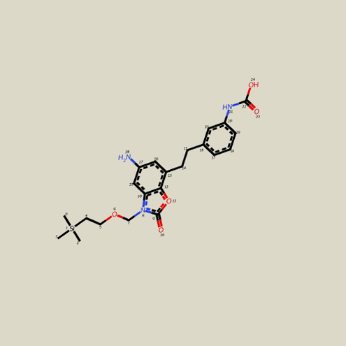 C[Si](C)(C)CCOCn1c(=O)oc2c(CCc3cccc(NC(=O)O)c3)cc(N)cc21